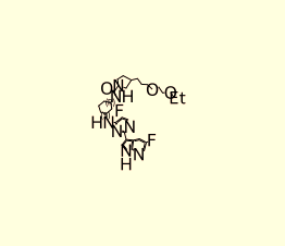 CCOCCOCCCC1CCN(C(=O)N[C@@H]2CCC[C@H](Nc3nc(-c4c[nH]c5ncc(F)cc45)ncc3F)C2)C1